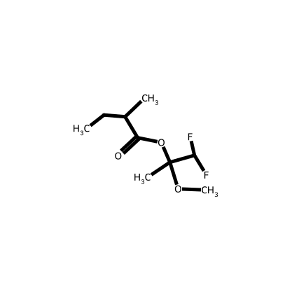 CCC(C)C(=O)OC(C)(OC)C(F)F